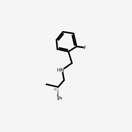 CC(C)[C@H](C)CNCc1ccccc1F